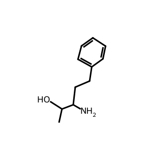 CC(O)C(N)CCc1ccccc1